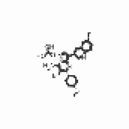 CO[C@H]1CC[C@H](c2nc3c(-c4cnc5ccc(F)cc5c4)cnn3c(N)c2Br)CC1.O=C(O)O